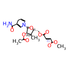 COC(=O)/C=C/C(=O)OC[C@H]1O[C@@H](N2C=CCC(C(N)=O)=C2)[C@H](OC(C)=O)[C@@H]1C